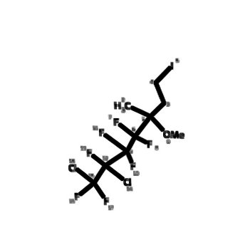 COC(C)(CCI)C(F)(F)C(F)(F)C(F)(Cl)C(F)(F)Cl